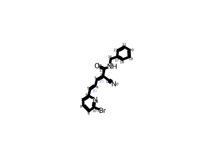 N#C/C(=C\C=C\c1cccc(Br)n1)C(=O)NCc1ccccc1